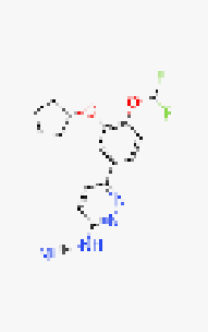 N#CNc1ccc(-c2ccc(OC(F)F)c(OC3CCCC3)c2)nn1